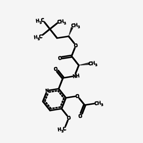 COc1ccnc(C(=O)N[C@@H](C)C(=O)O[C@@H](C)CC(C)(C)C)c1OC(C)=O